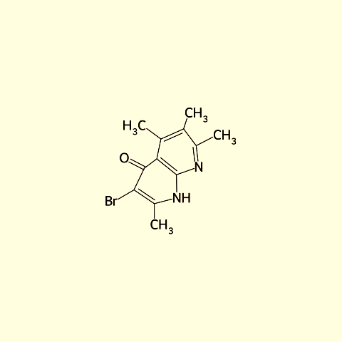 Cc1nc2[nH]c(C)c(Br)c(=O)c2c(C)c1C